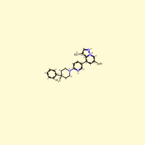 CCCc1cc(-c2ccc(N3CCC(C)(c4ccccc4)CC3)nc2)c2c(C#N)cnn2c1